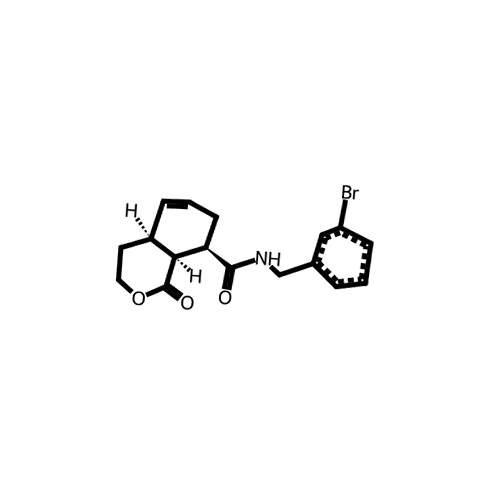 O=C1OCC[C@H]2C=CC[C@@H](C(=O)NCc3cccc(Br)c3)[C@@H]12